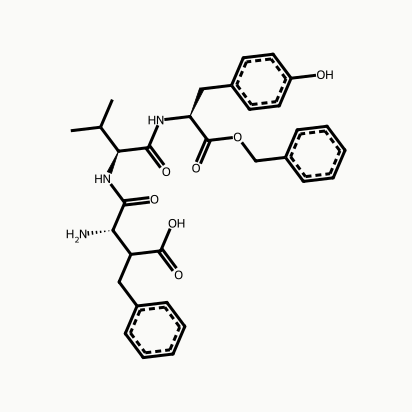 CC(C)[C@H](NC(=O)[C@@H](N)C(Cc1ccccc1)C(=O)O)C(=O)N[C@@H](Cc1ccc(O)cc1)C(=O)OCc1ccccc1